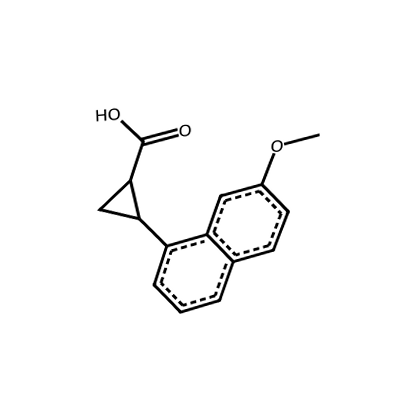 COc1ccc2cccc(C3CC3C(=O)O)c2c1